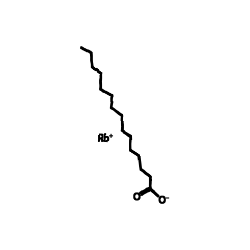 CCCCCCCCCCCCCCC(=O)[O-].[Rb+]